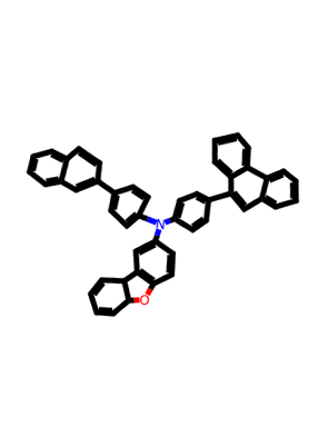 C1=CC2Oc3ccc(N(c4ccc(-c5ccc6ccccc6c5)cc4)c4ccc(-c5cc6ccccc6c6ccccc56)cc4)cc3C2C=C1